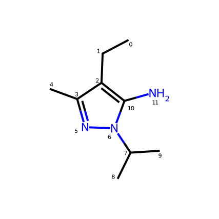 CCc1c(C)nn(C(C)C)c1N